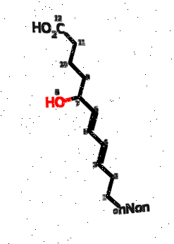 CCCCCCCCCCCC=CC=CC(O)CCCC(=O)O